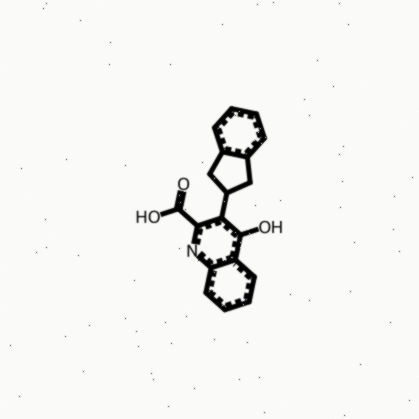 O=C(O)c1nc2ccccc2c(O)c1C1Cc2ccccc2C1